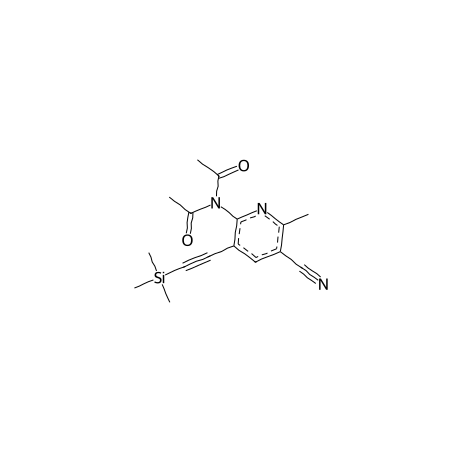 CC(=O)N(C(C)=O)c1nc(C)c(C#N)cc1C#C[Si](C)(C)C